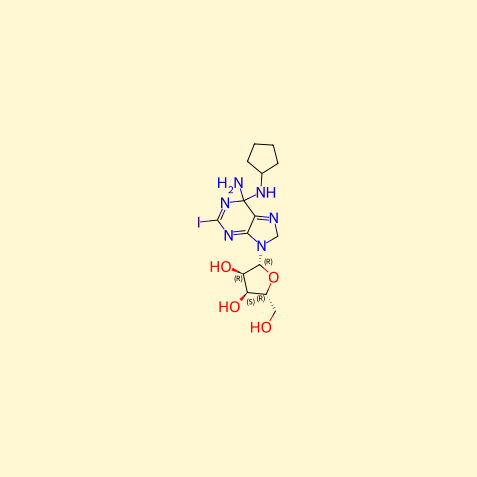 NC1(NC2CCCC2)N=C(I)N=C2C1=NCN2[C@@H]1O[C@H](CO)[C@@H](O)[C@H]1O